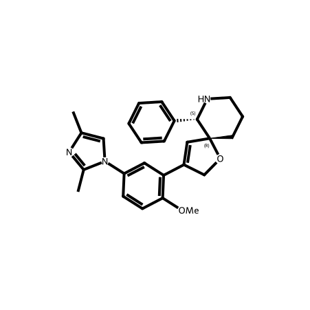 COc1ccc(-n2cc(C)nc2C)cc1C1=C[C@@]2(CCCN[C@H]2c2ccccc2)OC1